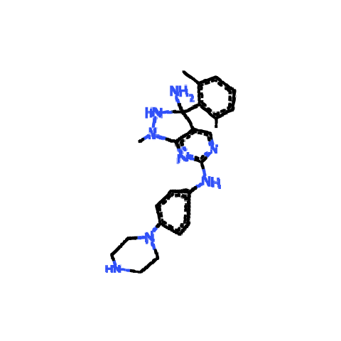 Cc1cccc(C)c1C1(N)NN(C)c2nc(Nc3ccc(N4CCNCC4)cc3)ncc21